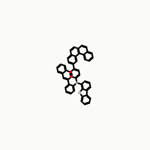 c1ccc(N(c2ccc(-c3ccc4ccc5ccc6ccccc6c5c4c3)cc2)c2cccc3c2oc2ccccc23)c(-c2ccc3ccccc3c2)c1